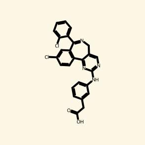 O=C(O)Cc1cccc(Nc2ncc3c(n2)-c2ccc(Cl)cc2C(c2ccccc2Cl)=NC3)c1